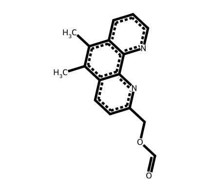 Cc1c(C)c2ccc(COC=O)nc2c2ncccc12